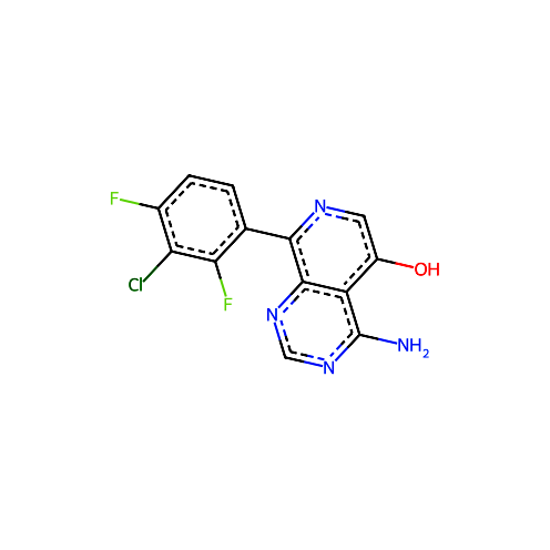 Nc1ncnc2c(-c3ccc(F)c(Cl)c3F)ncc(O)c12